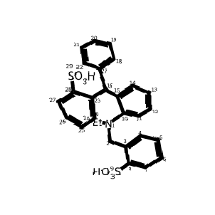 CCN(Cc1ccccc1S(=O)(=O)O)c1ccccc1C(c1ccccc1)c1ccccc1S(=O)(=O)O